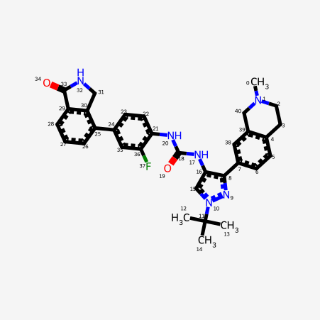 CN1CCc2ccc(-c3nn(C(C)(C)C)cc3NC(=O)Nc3ccc(-c4cccc5c4CNC5=O)cc3F)cc2C1